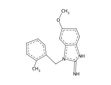 COc1ccc2[nH]c(=N)n(Cc3ccccc3C)c2c1